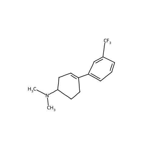 CN(C)C1CC=C(c2cccc(C(F)(F)F)c2)CC1